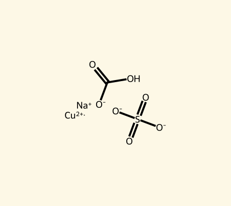 O=C([O-])O.O=S(=O)([O-])[O-].[Cu+2].[Na+]